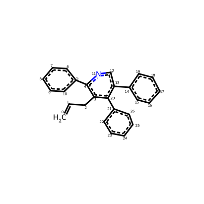 C=CCc1c(-c2ccccc2)n[c]c(-c2ccccc2)c1-c1ccccc1